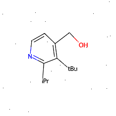 CC(C)c1nccc(CO)c1C(C)(C)C